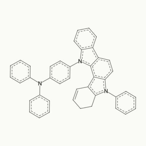 C1=Cc2c(n(-c3ccccc3)c3ccc4c5ccccc5n(-c5ccc(N(c6ccccc6)c6ccccc6)cc5)c4c23)CC1